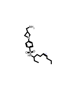 CCC/C=C\CCC(CC)NS(=O)(=O)c1ccc(N2CC(CN)C2)cc1